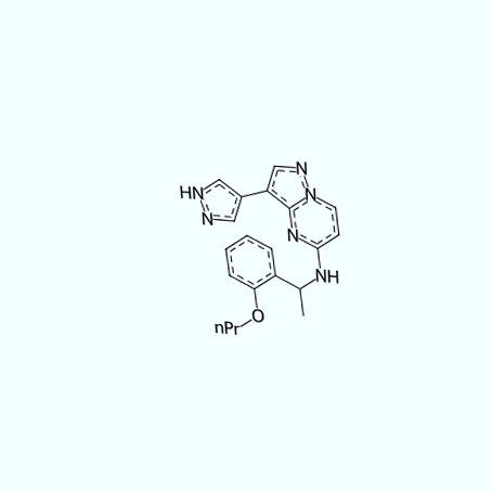 CCCOc1ccccc1C(C)Nc1ccn2ncc(-c3cn[nH]c3)c2n1